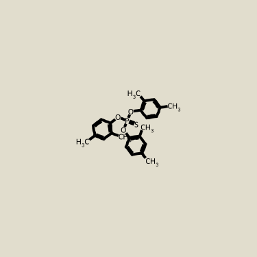 Cc1ccc(OP(=S)(Oc2ccc(C)cc2C)Oc2ccc(C)cc2C)c(C)c1